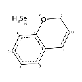 C1=Cc2ccccc2OC1.[SeH2]